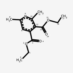 CCOC(=O)c1cc(C)nc(C)c1C(=O)OCC